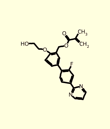 C=C(C)C(=O)OCc1cc(-c2ccc(-c3ncccn3)cc2F)ccc1OCCO